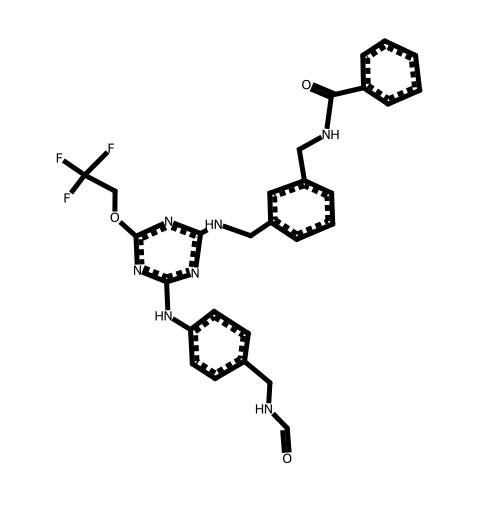 O=CNCc1ccc(Nc2nc(NCc3cccc(CNC(=O)c4ccccc4)c3)nc(OCC(F)(F)F)n2)cc1